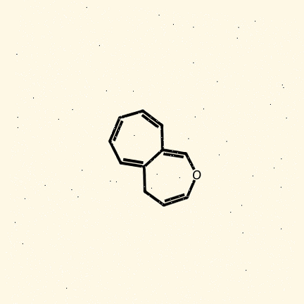 C1=CC=C2CC=COC=C2C=C1